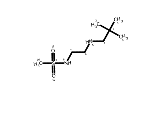 CC(C)(C)CNCCNS(C)(=O)=O